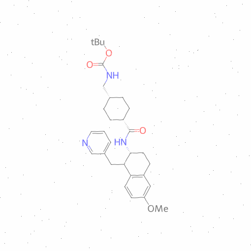 COc1ccc2c(c1)CC[C@@H](NC(=O)[C@H]1CC[C@@H](CNC(=O)OC(C)(C)C)CC1)C2Cc1cccnc1